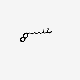 C=CC(=O)OC(I)CCCCCOc1ccc2ccccc2c1